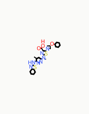 Cc1cc(N(C)c2nc(C(=O)O)c(N3CC(Oc4ccccc4)C3)s2)nnc1Nc1nc2ccccc2s1